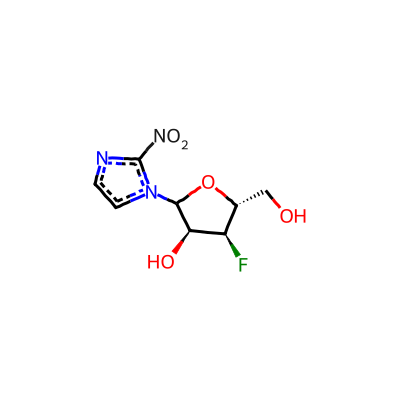 O=[N+]([O-])c1nccn1C1O[C@H](CO)[C@@H](F)[C@H]1O